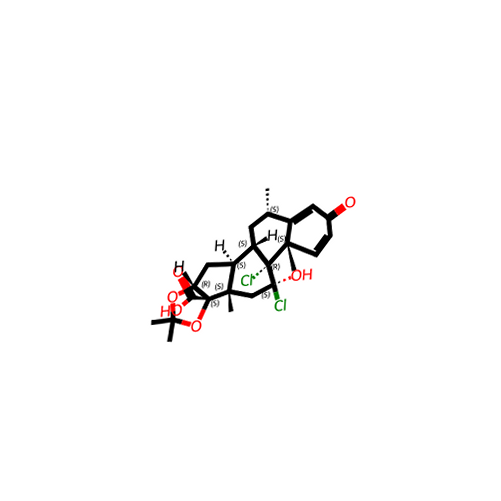 C[C@H]1C[C@H]2[C@@H]3C[C@H]4OC(C)(C)O[C@@]4(C(=O)O)[C@@]3(C)C[C@](O)(Cl)[C@]2(Cl)[C@@]2(C)C=CC(=O)C=C12